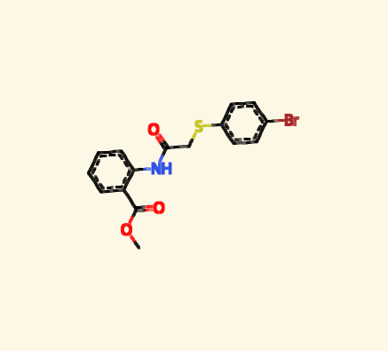 COC(=O)c1ccccc1NC(=O)CSc1ccc(Br)cc1